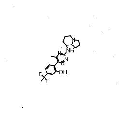 Cc1nc(N[C@@]2(C)CCCN3CCCC32)nnc1-c1ccc(C(C)(F)F)cc1O